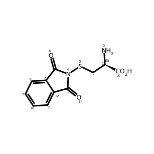 N[C@H](CSN1C(=O)c2ccccc2C1=O)C(=O)O